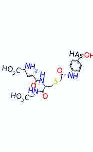 NC(CCC(=O)NC(CSCC(=O)Nc1ccc([AsH]O)cc1)C(=O)NCC(=O)O)C(=O)O